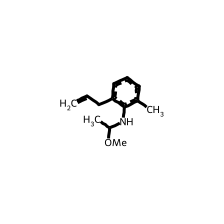 C=CCc1cccc(C)c1NC(C)OC